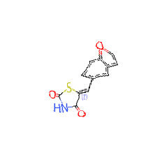 O=C1NC(=O)/C(=C/c2ccc3occc3c2)S1